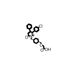 O=C(O)COC[C@H]1CC[C@@H](Cn2nc(-c3ccc(Cl)cc3)c(-c3ccccc3)cc2=O)CC1